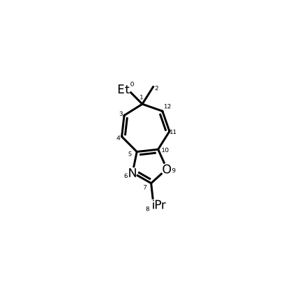 CCC1(C)C=Cc2nc(C(C)C)oc2C=C1